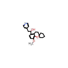 COc1ccc(C(O)Cc2ccncc2)c2c1OC1(CCCCC1)CC2